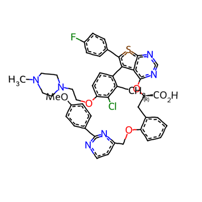 COc1ccc(-c2nccc(COc3ccccc3C[C@@H](Oc3ncnc4sc(-c5ccc(F)cc5)c(-c5ccc(OCCN6CCN(C)CC6)c(Cl)c5C)c34)C(=O)O)n2)cc1